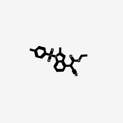 CCOC(=O)C(C#N)c1cccc2c1cc(C)n2S(=O)(=O)c1ccc(C)cc1